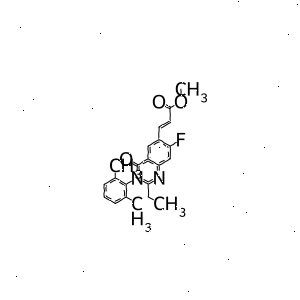 CCc1nc2cc(F)c(C=CC(=O)OC)cc2c(=O)n1-c1c(C)cccc1C